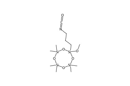 CO[Si]1(CCCN=C=O)O[Si](C)(C)O[Si](C)(C)O[Si](C)(C)O1